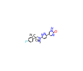 CC(C)(CNc1ccc(-c2cnc(=O)[nH]c2)nn1)c1ccc(F)cc1